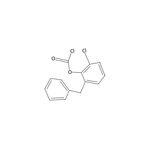 O=C(Cl)Oc1c(Cl)cccc1Cc1ccccc1